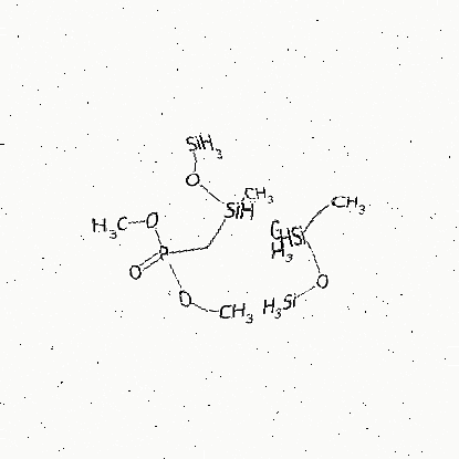 COP(=O)(C[SiH](C)O[SiH3])OC.C[SiH](C)O[SiH3]